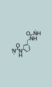 CNC(=O)NCc1cccc(NC(=O)N(C)C)c1